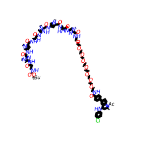 CC(=O)N1c2ccc(-c3ccc(C(=O)NCCOCCOCCOCCOCCOCCOCCOCCOCCNC(=O)c4nc(NC(=O)CCNC(=O)c5cc(NC(=O)c6nc(NC(=O)CCNC(=O)c7cc(NC(=O)c8nc(NC(=O)CCNC(=O)OC(C)(C)C)cn8C)cn7C)cn6C)cn5C)cn4C)cc3)cc2[C@H](Nc2ccc(Cl)cc2)C[C@@H]1C